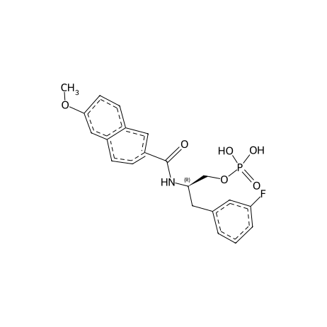 COc1ccc2cc(C(=O)N[C@@H](COP(=O)(O)O)Cc3cccc(F)c3)ccc2c1